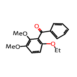 CCOc1ccc(OC)c(OC)c1C(=O)c1ccccc1